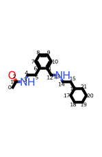 CC(=O)NCCc1ccccc1CNCCC1CCCCC1